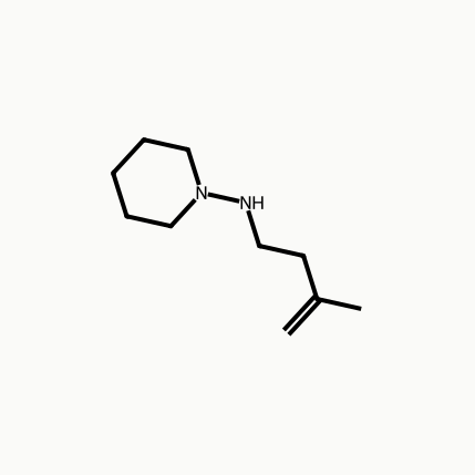 C=C(C)CCNN1CCCCC1